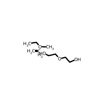 C=C.CCOC.OCCOCCO